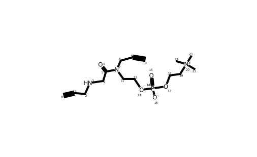 C#CCNCC(=O)N(CC#C)CCOP(=O)([O-])OCC[N+](C)(C)C